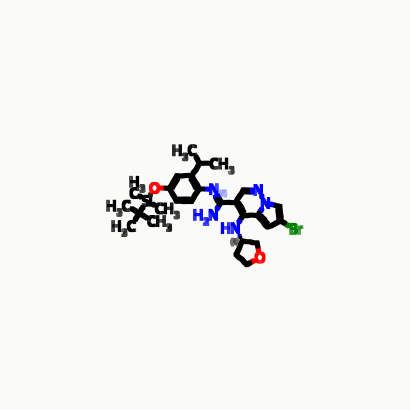 CC(C)c1cc(O[Si](C)(C)C(C)(C)C)ccc1/N=C(\N)c1cnn2cc(Br)cc2c1N[C@H]1CCOC1